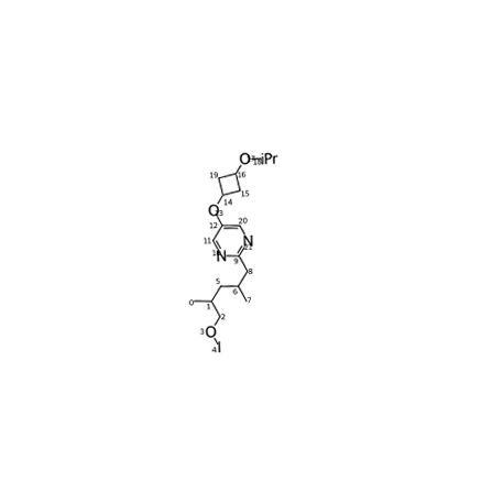 CC(COI)CC(C)Cc1ncc(OC2CC(OC(C)C)C2)cn1